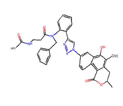 CCCC(=O)NCCC(=O)N(Cc1ccccc1)c1ccccc1-c1cn(-c2ccc3c4c(c(C=O)c(O)c3c2)CC(C)OC4=O)nn1